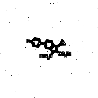 CCOC(=O)c1c(C2CC2)c2ccc(-c3ccc(F)cc3)cc2n1C(=O)OCC